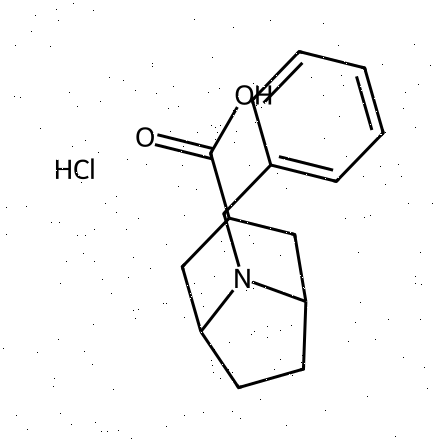 Cl.O=C(O)C1CC2CCC(C1)N2Cc1ccccc1